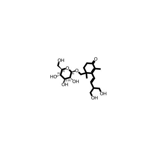 CC1=C(C=CC(CO)CO)C(C)(CO[C@@H]2O[C@H](CO)[C@@H](O)[C@H](O)[C@H]2O)CCC1=O